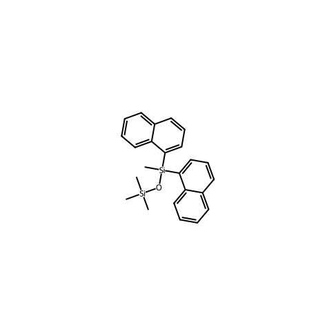 C[Si](C)(C)O[Si](C)(c1cccc2ccccc12)c1cccc2ccccc12